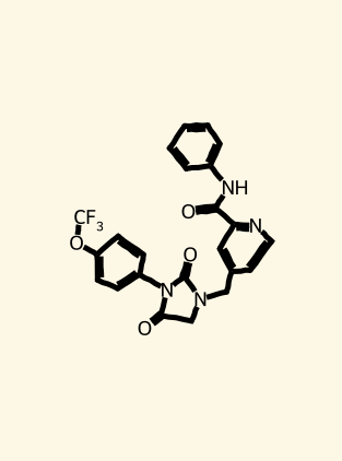 O=C(Nc1ccccc1)c1cc(CN2CC(=O)N(c3ccc(OC(F)(F)F)cc3)C2=O)ccn1